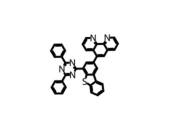 c1ccc(-c2nc(-c3ccccc3)nc(-c3cc(-c4cc5cccnc5c5ncccc45)cc4c3sc3ccccc34)n2)cc1